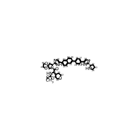 COC(=O)NC(C(=O)N1CC2(C[C@H]1c1ncc(-c3ccc4cc(-c5ccc(-c6cnc([C@@H]7CCCN7)[nH]6)cc5)ccc4c3)[nH]1)OCCO2)C1CCOCC1